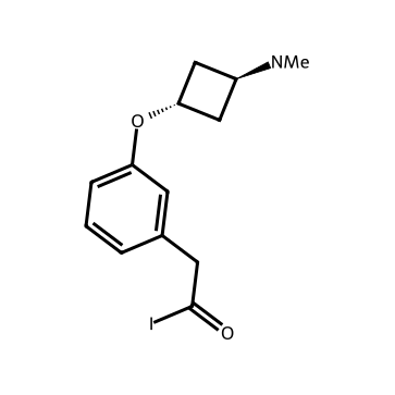 CN[C@H]1C[C@H](Oc2cccc(CC(=O)I)c2)C1